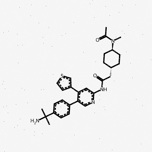 CC(=O)N(C)[C@H]1CC[C@H](CC(=O)Nc2cc(-c3ccsc3)c(-c3ccc(C(C)(C)N)cc3)cn2)CC1